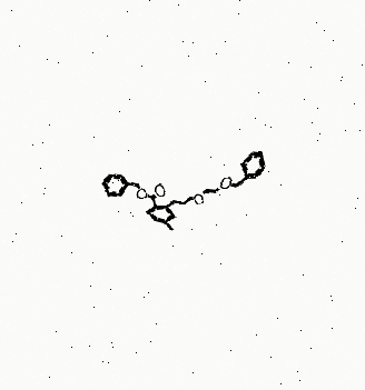 Cc1ccc(C(=O)OCc2ccccc2)c(CCCOCCOCc2ccccc2)c1